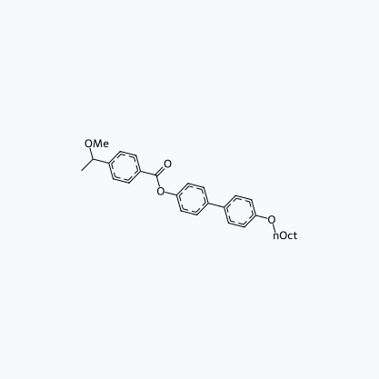 CCCCCCCCOc1ccc(-c2ccc(OC(=O)c3ccc(C(C)OC)cc3)cc2)cc1